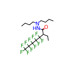 CCCCN(CCCC)NC(=O)C(CC)C(F)(F)C(F)(F)C(F)(F)C(F)(F)C(F)(F)F